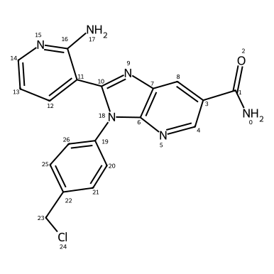 NC(=O)c1cnc2c(c1)nc(-c1cccnc1N)n2-c1ccc(CCl)cc1